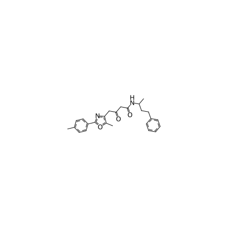 Cc1ccc(-c2nc(CC(=O)CC(=O)NC(C)CCc3ccccc3)c(C)o2)cc1